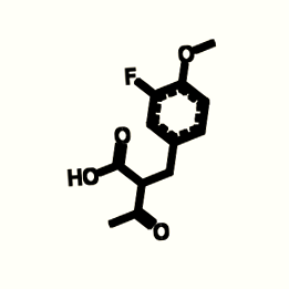 COc1ccc(CC(C(C)=O)C(=O)O)cc1F